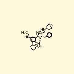 CCNc1cc(C(=O)N[C@@H](Cc2ccccc2)[C@H](O)CNC2CCOCC2)cc(N2CCCCS2(O)O)c1